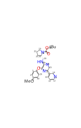 COc1ccc(Oc2nc(-c3cccnc3)cnc2NC[C@@H]2CCCN2C(=O)OC(C)(C)C)cc1